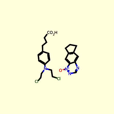 O=C(O)CCCc1ccc(N(CCCl)CCCl)cc1.[O-][n+]1ncnc2cc3c(cc21)CCC3